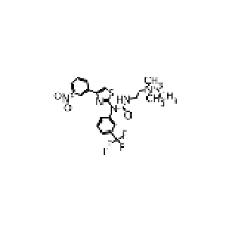 CC[N+](C)(C)CCNC(=O)N(c1cccc(C(F)(F)F)c1)c1nc(-c2cccc([N+](=O)[O-])c2)cs1.[I-]